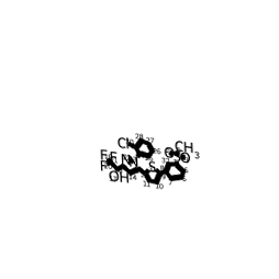 CS(=O)(=O)c1cccc(-c2ccc(-c3cc(C(O)C(F)(F)F)nn3-c3ccccc3Cl)s2)c1